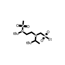 CCS(=O)(=O)CN(CCN(C(C)(C)C)S(C)(=O)=O)C(C)C(C)(C)C